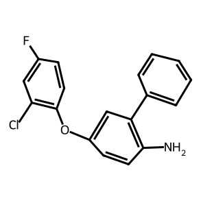 Nc1ccc(Oc2ccc(F)cc2Cl)cc1-c1ccccc1